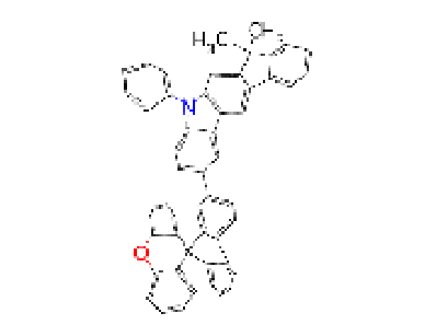 CC1(C)c2ccccc2-c2cc3c4cc(-c5ccc6c(c5)C5(c7ccccc7Oc7ccccc75)c5ccccc5-6)ccc4n(-c4ccccc4)c3cc21